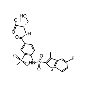 Cc1c(S(=O)(=O)Nc2ccc(C(=O)N[C@@H](CO)C(=O)O)cc2S(C)(=O)=O)sc2ccc(F)cc12